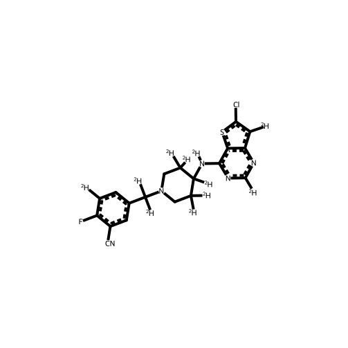 [2H]c1nc(N([2H])C2([2H])C([2H])([2H])CN(C([2H])([2H])c3cc([2H])c(F)c(C#N)c3)CC2([2H])[2H])c2sc(Cl)c([2H])c2n1